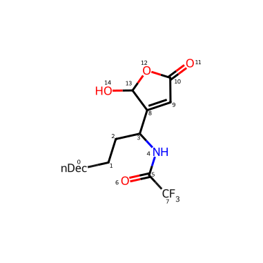 CCCCCCCCCCCCC(NC(=O)C(F)(F)F)C1=CC(=O)OC1O